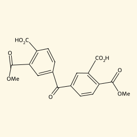 COC(=O)c1ccc(C(=O)c2ccc(C(=O)O)c(C(=O)OC)c2)cc1C(=O)O